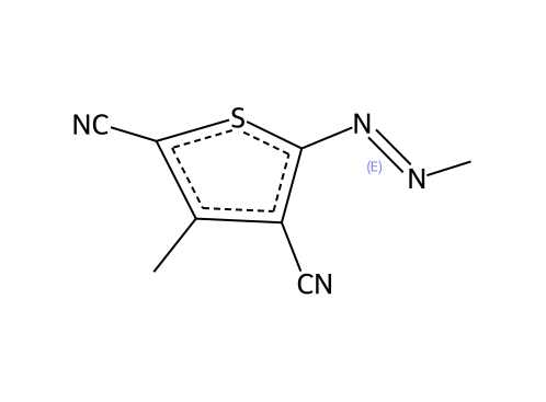 C/N=N/c1sc(C#N)c(C)c1C#N